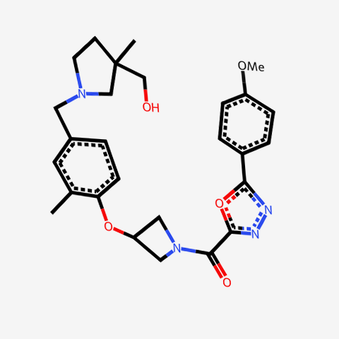 COc1ccc(-c2nnc(C(=O)N3CC(Oc4ccc(CN5CCC(C)(CO)C5)cc4C)C3)o2)cc1